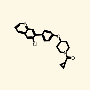 O=C(C1CC1)N1CCC(Oc2ccc(-c3cc4ncccc4cc3Cl)cc2)CC1